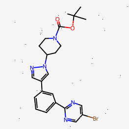 CC(C)(C)OC(=O)N1CCC(n2cc(-c3cccc(-c4ncc(Br)cn4)c3)cn2)CC1